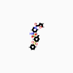 Cc1ccc(S(=O)(=O)c2ccccc2)cc1S(=O)(=O)NC1CCN(C(=O)c2ccco2)CC1